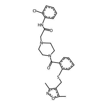 Cc1noc(C)c1CSc1ccccc1C(=O)N1CCN(CC(=O)Nc2ccccc2Cl)CC1